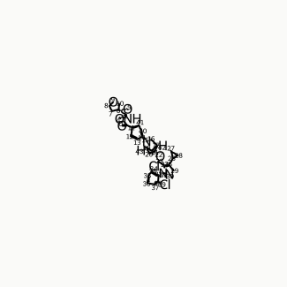 O=C(NS(=O)(=O)C1CCOC1)c1ccc(N2C[C@@H]3C[C@H]2C[C@H]3OCc2c(C3CC3)cnn2-c2c(Cl)cccc2Cl)cc1